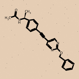 CC(=O)N[C@@H](C)c1ccc(C#Cc2cnc(OCc3ccccc3)nc2)cc1